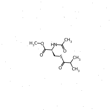 COC(=O)[C@H](CSC(=O)C(C)C)NC(C)=O